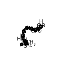 CC(=O)c1c(C)c2cnc(Nc3ccc(N4CCN(Cc5ccc(CN6CCC(O)(c7ccc8c(c7)CN(C7CCC(=O)NC7=O)C8=O)CC6)cc5)CC4)nc3)nc2n(C2CCCC2)c1=O